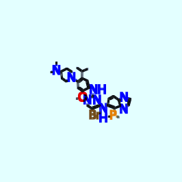 COc1cc(N2CCC(N(C)C)CC2)c(C(C)C)cc1Nc1ncc(Br)c(Nc2ccc3nccnc3c2P(C)C)n1